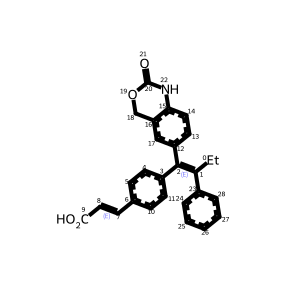 CC/C(=C(/c1ccc(/C=C/C(=O)O)cc1)c1ccc2c(c1)COC(=O)N2)c1ccccc1